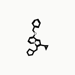 c1ccc(COc2cccn3c(CC4CCCC4)c(C4CC4)cc23)cc1